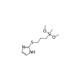 CO[Si](C)(CCCSc1ncc[nH]1)OC